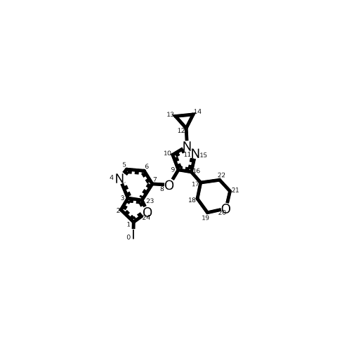 Ic1cc2nccc(Oc3cn(C4CC4)nc3C3CCOCC3)c2o1